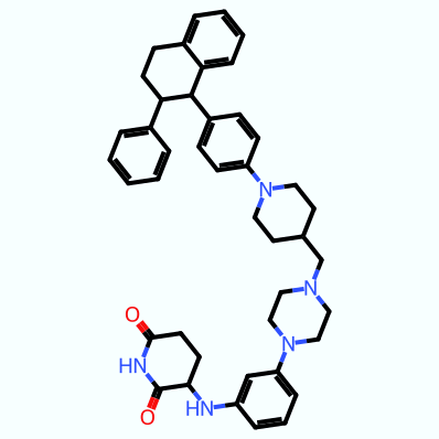 O=C1CCC(Nc2cccc(N3CCN(CC4CCN(c5ccc(C6c7ccccc7CCC6c6ccccc6)cc5)CC4)CC3)c2)C(=O)N1